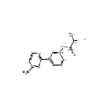 Nc1cccc(-c2cccc(NC(=O)C(Cl)Cl)c2)c1